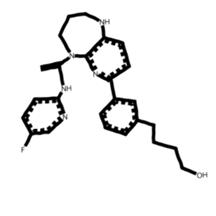 C=C(Nc1ccc(F)cn1)N1CCCNc2ccc(-c3cccc(CCCCO)c3)nc21